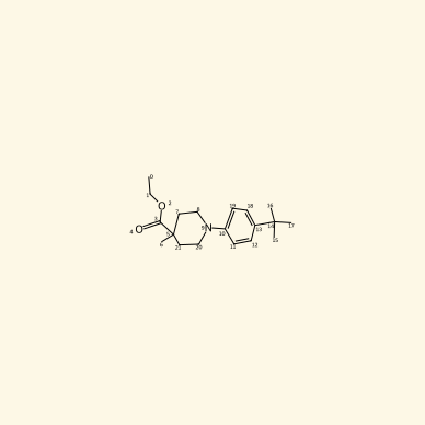 CCOC(=O)C1(C)CCN(c2ccc(C(C)(C)C)cc2)CC1